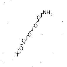 CC(C)(C)COCCOCCOCCCOCCOCCN